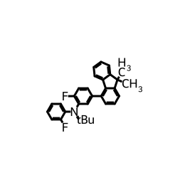 CC1(C)c2ccccc2-c2c(-c3ccc(F)c(N(c4ccccc4F)C(C)(C)C)c3)cccc21